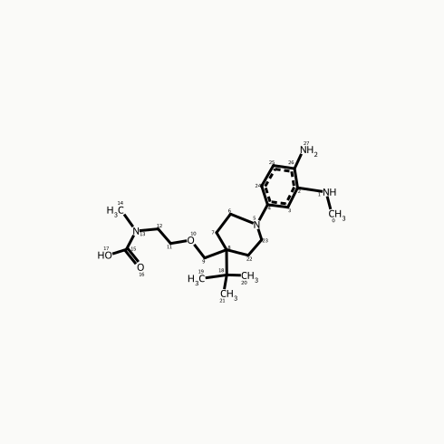 CNc1cc(N2CCC(COCCN(C)C(=O)O)(C(C)(C)C)CC2)ccc1N